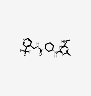 CNc1nc(C)nc(N[C@H]2CCC[C@@H](C(=O)NCc3ccncc3C(F)(F)F)C2)n1